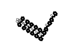 O=C(Cc1ccccc1)c1ccccc1.O=C(Cc1ccccc1)c1ccccc1.O=C(Cc1ccccc1)c1ccccc1.O=C(Cc1ccccc1)c1ccccc1.O=C(Cc1ccccc1)c1ccccc1.O=C(Cc1ccccc1)c1ccccc1.O=C(Cc1ccccc1)c1ccccc1.O=C(c1ccccc1)C(c1ccccc1)[Si](Cl)(Cl)Cl